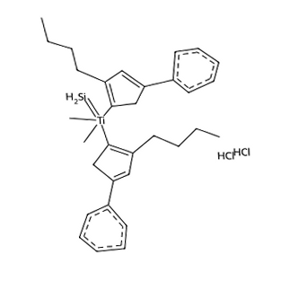 CCCCC1=[C]([Ti]([CH3])([CH3])(=[SiH2])[C]2=C(CCCC)C=C(c3ccccc3)C2)CC(c2ccccc2)=C1.Cl.Cl